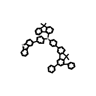 CC1(C)c2ccccc2-c2c(N(c3ccc(-c4ccc5c(c4)-c4cc(-c6ccccc6)cc(-c6ccccc6)c4C5(C)C)cc3)c3ccc(-c4ccc5sc6ccccc6c5c4)cc3)cccc21